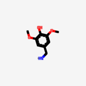 COc1cc(C[NH])cc(OC)c1O